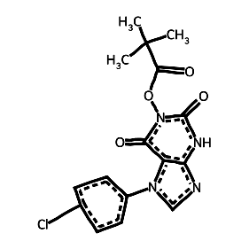 CC(C)(C)C(=O)On1c(=O)[nH]c2ncn(-c3ccc(Cl)cc3)c2c1=O